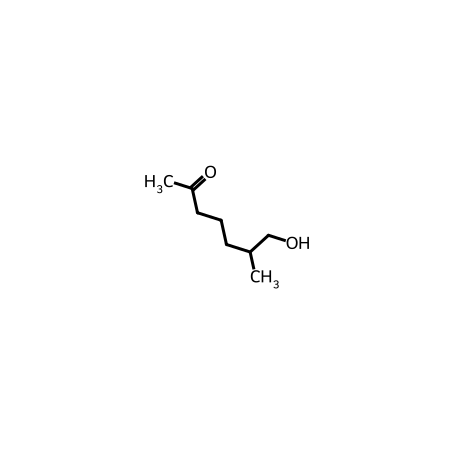 CC(=O)CCCC(C)CO